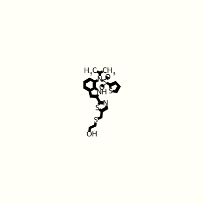 CC(C)N(c1cccc2cc(-c3ncc(CSCCO)s3)[nH]c12)S(=O)(=O)c1cccs1